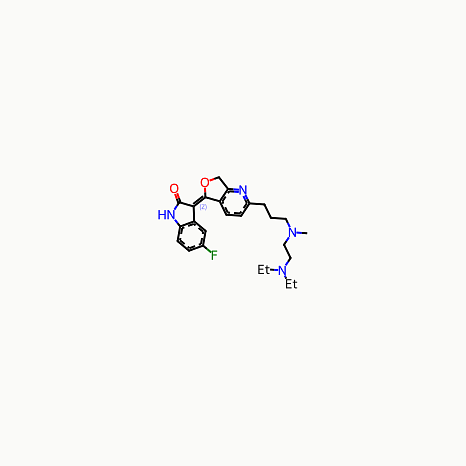 CCN(CC)CCN(C)CCCc1ccc2c(n1)CO/C2=C1\C(=O)Nc2ccc(F)cc21